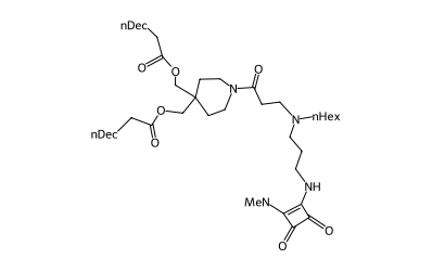 CCCCCCCCCCCC(=O)OCC1(COC(=O)CCCCCCCCCCC)CCN(C(=O)CCN(CCCCCC)CCCNc2c(NC)c(=O)c2=O)CC1